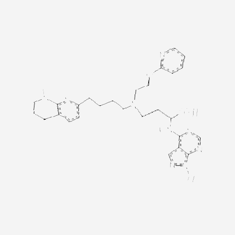 Cn1ncc2c(NC(CCN(CCCCc3ccc4c(n3)NCCC4)CCOc3ccccn3)C(=O)O)ncnc21